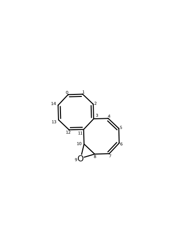 C1=CC=C2C=CC=CC3OC3C2=CC=C1